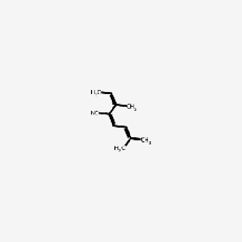 C/C=C(C)\C(C#N)=C/C=C(C)C